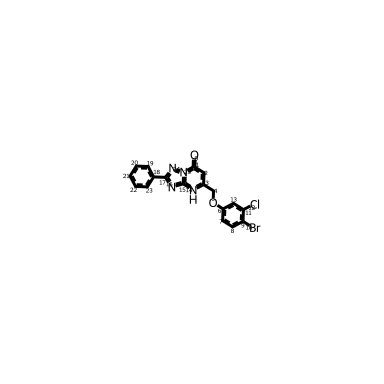 O=c1cc(COc2ccc(Br)c(Cl)c2)[nH]c2nc(-c3ccccc3)nn12